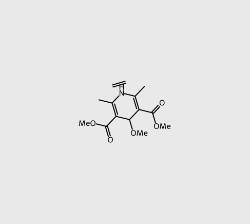 C=C.COC(=O)C1=C(C)NC(C)=C(C(=O)OC)C1OC